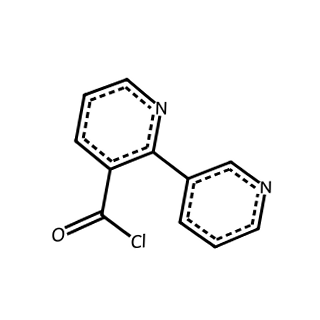 O=C(Cl)c1cccnc1-c1cccnc1